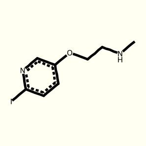 CNCCOc1ccc(I)nc1